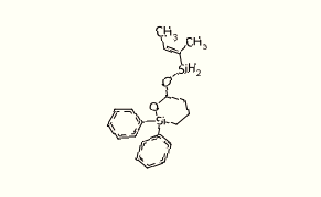 CC=C(C)[SiH2]OC1CCC[Si](c2ccccc2)(c2ccccc2)O1